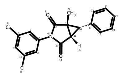 C[C@]12C(=O)N(c3cc(Cl)cc(Cl)c3)C(=O)[C@H]1[C@H]2c1ccccc1